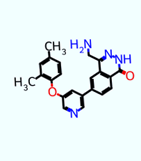 Cc1ccc(Oc2cncc(-c3ccc4c(=O)[nH]nc(CN)c4c3)c2)c(C)c1